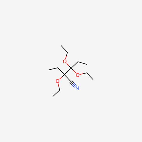 CCOC(C#N)(CC)C(CC)(OCC)OCC